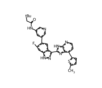 Cc1ccc(-c2ccnc3[nH]c(-c4n[nH]c5cc(F)c(-c6cncc(NC(=O)CC(C)(C)C)c6)cc45)nc23)s1